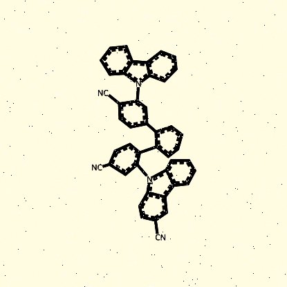 N#Cc1ccc(-c2ccccc2-c2ccc(C#N)c(-n3c4ccccc4c4ccccc43)c2)c(-n2c3ccccc3c3cc(C#N)ccc32)c1